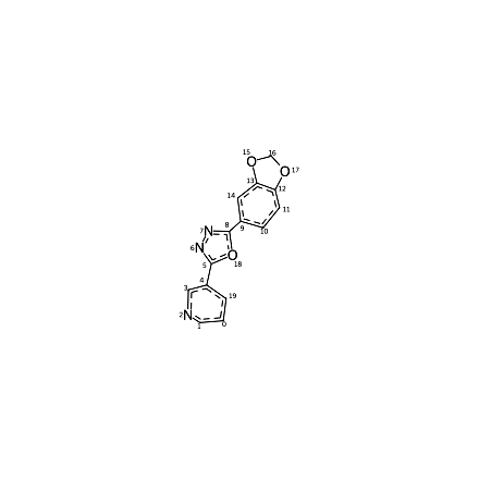 c1cncc(-c2nnc(-c3ccc4c(c3)OCO4)o2)c1